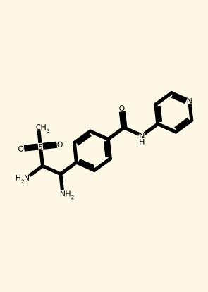 CS(=O)(=O)C(N)C(N)c1ccc(C(=O)Nc2ccncc2)cc1